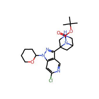 CC(C)(C)OC(=O)N1C2CNCC1(c1nn(C3CCCCO3)c3cc(Cl)ncc13)C2